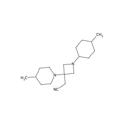 CC1CCC(N2CC(CC#N)(N3CCC(C)CC3)C2)CC1